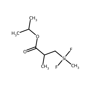 CC(C)OC(=O)C(C)C[Si](C)(F)F